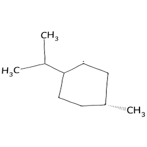 CC(C)C1[CH]C[C@H](C)CC1